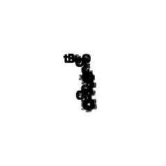 CC(C)(C)OC(=O)CCN1CCN(CC2CN(c3ccccc3)C(=O)O2)CC1